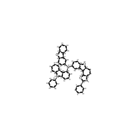 c1ccc(-c2nc3ccc4oc5ccc(N(c6ccc7oc8ccccc8c7c6)c6cccc7c6c6ccccc6n7-c6ccccc6)cc5c4c3o2)cc1